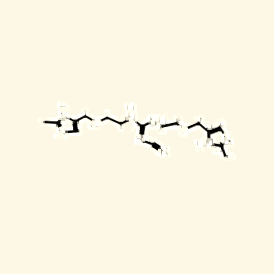 Cc1ncc(CSCCNC(=NC#N)NCCSCc2cnc(C)[nH]2)[nH]1